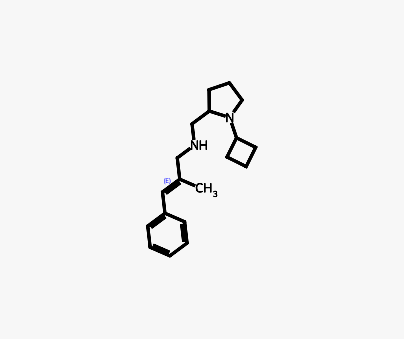 C/C(=C\c1ccccc1)CNCC1CCCN1C1CCC1